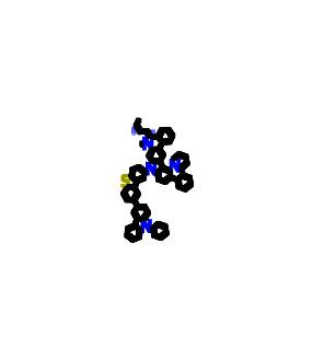 C=N/C(=C\C=C/C)c1ccccc1-c1ccc2c(c1)c1cc(-c3ccccc3-c3ccccn3)ccc1n2-c1ccc2sc3ccc(-c4ccc5c(c4)c4ccccc4n5-c4ccccc4)cc3c2c1